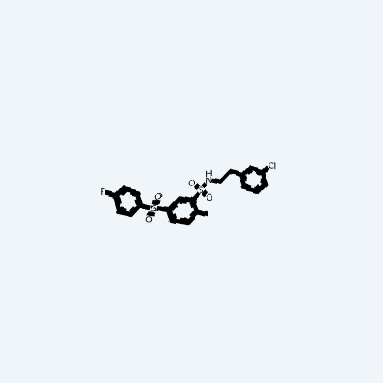 Cc1ccc(S(=O)(=O)c2ccc(F)cc2)cc1S(=O)(=O)NCCc1cccc(Cl)c1